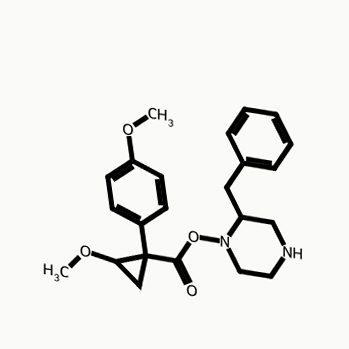 COc1ccc(C2(C(=O)ON3CCNCC3Cc3ccccc3)CC2OC)cc1